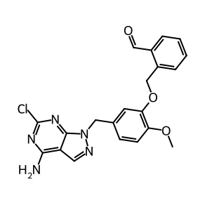 COc1ccc(Cn2ncc3c(N)nc(Cl)nc32)cc1OCc1ccccc1C=O